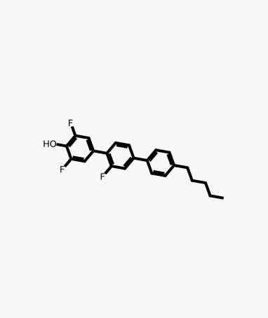 CCCCCc1ccc(-c2ccc(-c3cc(F)c(O)c(F)c3)c(F)c2)cc1